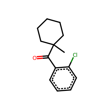 CC1(C(=O)c2ccccc2Cl)CCCCC1